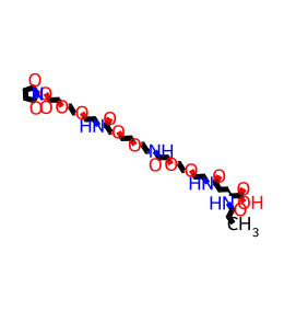 CCC(=O)N[C@@H](CCC(=O)NCCOCCOCC(=O)NCCOCCOCC(=O)NCCOCCOCC(=O)ON1C(=O)CCC1=O)C(=O)O